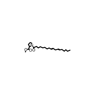 CCCCCC=CCC=CCCCCCCCC(=O)N1CCCC1C(=O)OC